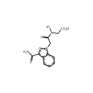 CCOC(=O)CN(C(=O)Cn1nc(C(N)=O)c2ccccc21)C(C)C